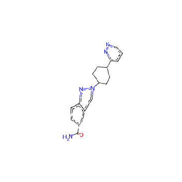 NC(=O)c1ccc2nn(C3CCC(c4cccnn4)CC3)cc2c1